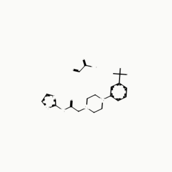 O=C(CN1CCN(c2cccc(C(F)(F)F)c2)CC1)Nc1nccs1.O=CC(=O)O